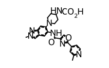 Cc1cc(-c2nc(C(=O)Nc3cc4cn(C)nc4cc3N3CCC(NC(=O)O)CC3)co2)ccn1